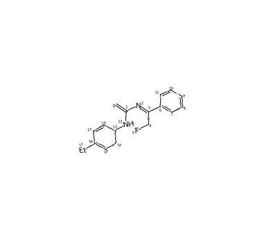 C=C(/N=C(\CF)c1ccccc1)NC1C=CC(CC)=CC1